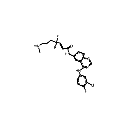 CN(C)CCCC(F)(F)C=CC(=O)Nc1ccc2ncnc(Nc3ccc(F)c(Cl)c3)c2c1